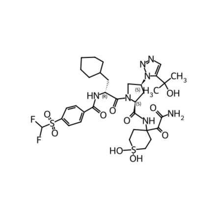 CC(C)(O)c1cnnn1[C@H]1C[C@@H](C(=O)NC2(C(=O)C(N)=O)CCS(O)(O)CC2)N(C(=O)[C@@H](CC2CCCCC2)NC(=O)c2ccc(S(=O)(=O)C(F)F)cc2)C1